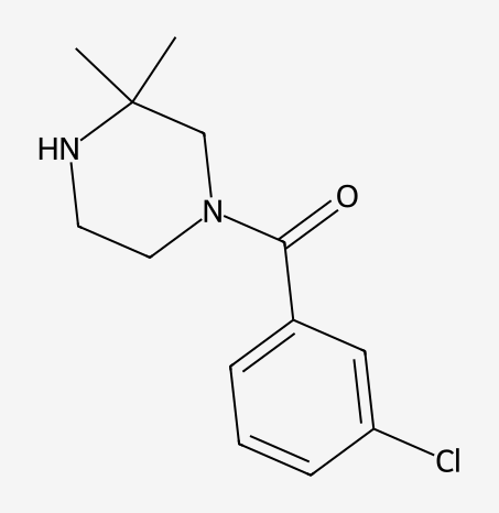 CC1(C)CN(C(=O)c2cccc(Cl)c2)CCN1